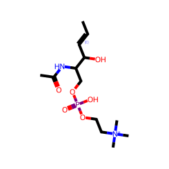 C/C=C/C(O)C(COP(=O)(O)OCC[N+](C)(C)C)NC(C)=O